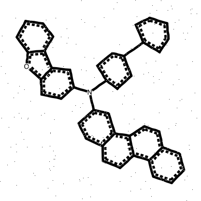 c1ccc(-c2ccc(N(c3ccc4ccc5c6ccccc6ccc5c4c3)c3ccc4oc5ccccc5c4c3)cc2)cc1